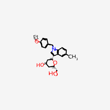 CCOc1ccc(Cn2cc([C@H]3C[C@@H](O)C[C@@H](CO)O3)c3cc(C)ccc32)cc1